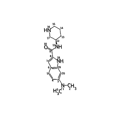 CN(C)c1ccc2cc(C(=O)N[C@@H]3CCCNC3)[nH]c2c1